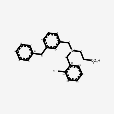 O=C(O)CCN(Cc1cccc(Cc2ccccc2)c1)Cc1ccccc1F